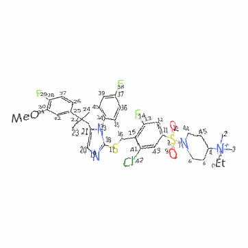 CC[N+](C)(C)C1CCN(S(=O)(=O)c2cc(F)c(CSc3ncc(C(C)(C)c4ccc(F)c(OC)c4)n3-c3ccc(F)cc3)c(Cl)c2)CC1